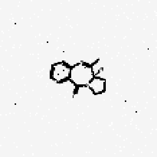 CC1=Nc2ccccc2C(=O)N2CCC[C@@H]12